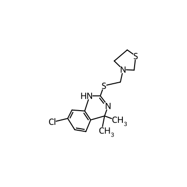 CC1(C)N=C(SCN2CCSC2)Nc2cc(Cl)ccc21